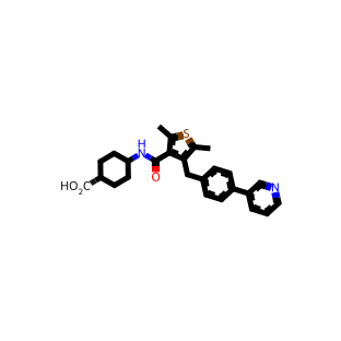 Cc1sc(C)c(C(=O)NC2CCC(C(=O)O)CC2)c1Cc1ccc(-c2cccnc2)cc1